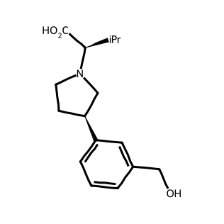 CC(C)[C@H](C(=O)O)N1CC[C@H](c2cccc(CO)c2)C1